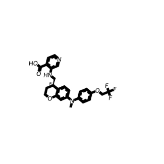 CN(c1ccc(OCC(F)(F)F)cc1)c1ccc2c(c1)OCC[C@H]2CNc1cnccc1C(=O)O